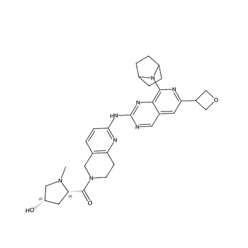 CN1C[C@@H](O)C[C@H]1C(=O)N1CCc2nc(Nc3ncc4cc(C5COC5)nc(N5C6CCC5CC6)c4n3)ccc2C1